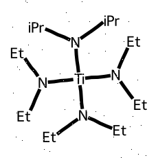 CC[N](CC)[Ti]([N](CC)CC)([N](CC)CC)[N](C(C)C)C(C)C